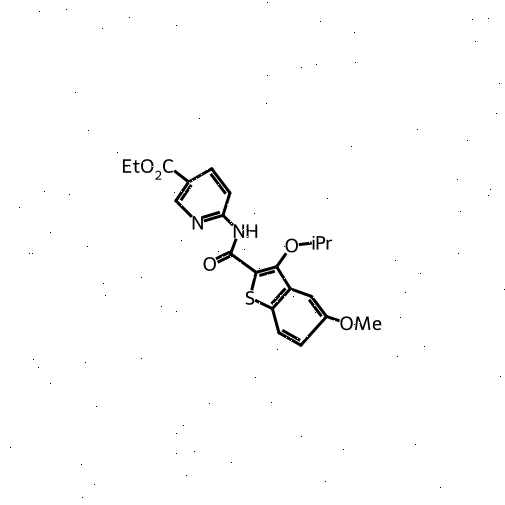 CCOC(=O)c1ccc(NC(=O)c2sc3ccc(OC)cc3c2OC(C)C)nc1